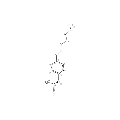 CCCCCCCc1cnc(OC(=O)Cl)nc1